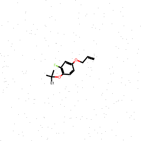 C=CCOc1ccc(OC(C)(C)CC)c(F)c1